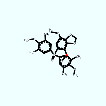 COc1cc(P(=O)(c2cc(C)c(OC)c(C)c2)c2cc(C)c(OC)c(C)c2)c(CI)c2c1OCO2